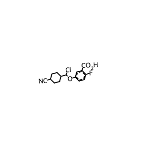 N#CC1CCC(C(Cl)Oc2ccc(F)c(C(=O)O)c2)CC1